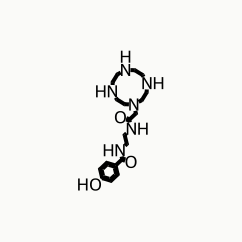 O=C(CN1CCNCCNCCNCC1)NCCNC(=O)c1ccc(O)cc1